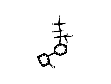 FC(F)(F)C(F)(F)C(F)(c1cc[c]c(-c2ccccc2Cl)c1)C(F)(F)F